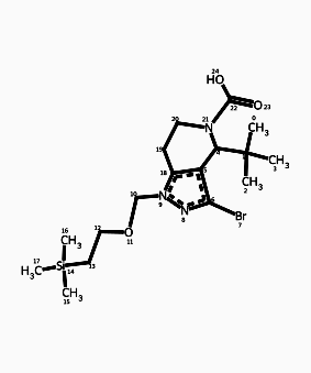 CC(C)(C)C1c2c(Br)nn(COCC[Si](C)(C)C)c2CCN1C(=O)O